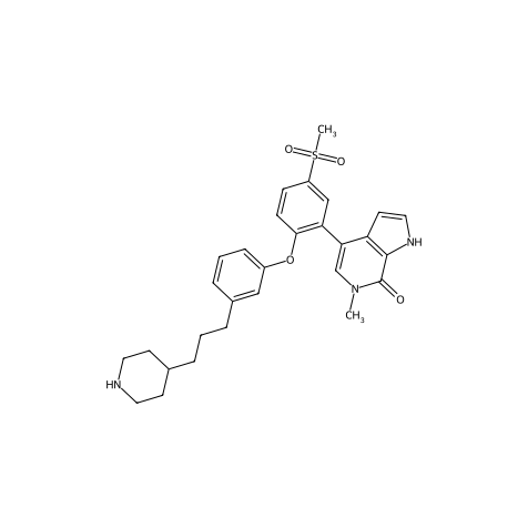 Cn1cc(-c2cc(S(C)(=O)=O)ccc2Oc2cccc(CCCC3CCNCC3)c2)c2cc[nH]c2c1=O